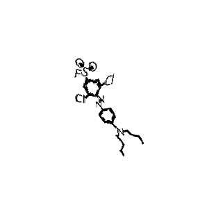 CCCCN(CCCC)c1ccc(N=Nc2c(Cl)cc(S(=O)(=O)F)cc2Cl)cc1